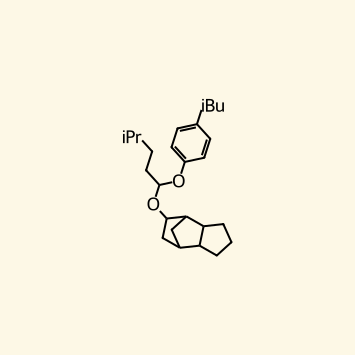 CCC(C)c1ccc(OC(CCC(C)C)OC2CC3CC2C2CCCC32)cc1